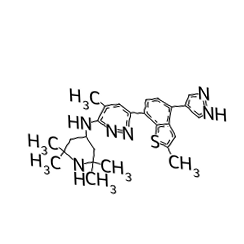 Cc1cc2c(-c3cn[nH]c3)ccc(-c3cc(C)c(NC4CC(C)(C)NC(C)(C)C4)nn3)c2s1